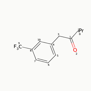 CC(C)C(=O)Cc1cccc(C(F)(F)F)c1